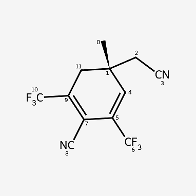 C[C@@]1(CC#N)C=C(C(F)(F)F)C(C#N)=C(C(F)(F)F)C1